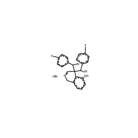 Br.CCCC(c1ccc(F)cc1)C1(C(CCC)c2ccc(F)cc2)C=NCc2cccc(O)c21